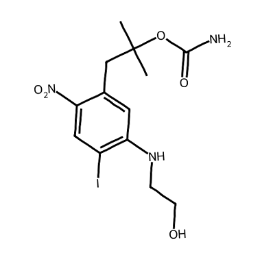 CC(C)(Cc1cc(NCCO)c(I)cc1[N+](=O)[O-])OC(N)=O